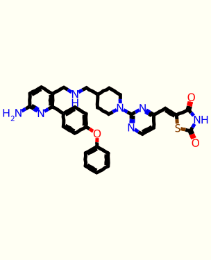 Nc1ccc(CNCC2CCN(c3nccc(/C=C4\SC(=O)NC4=O)n3)CC2)c(-c2ccc(Oc3ccccc3)cc2)n1